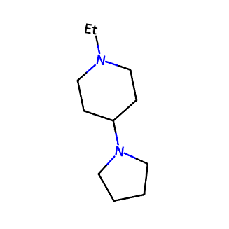 CCN1CCC(N2CCCC2)CC1